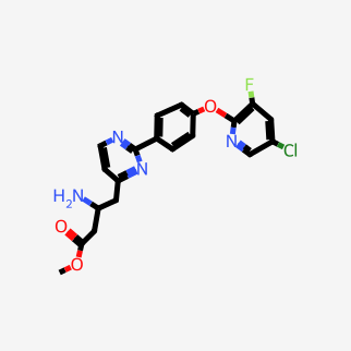 COC(=O)CC(N)Cc1ccnc(-c2ccc(Oc3ncc(Cl)cc3F)cc2)n1